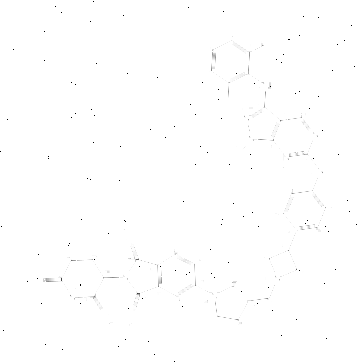 Cc1cccc(C)c1Nc1nn(C)c2nc(Nc3ccc(C4CN(CC5CCN(c6ccc7c(c6)C(=O)N(C6CCC(=O)NC6=O)C7=O)C5)C4)cc3)ncc12